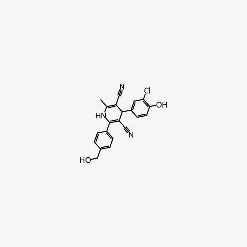 CC1=C(C#N)C(c2ccc(O)c(Cl)c2)C(C#N)=C(c2ccc(CO)cc2)N1